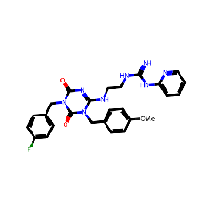 COc1ccc(Cn2c(NCCNC(=N)Nc3ccccn3)nc(=O)n(Cc3ccc(F)cc3)c2=O)cc1